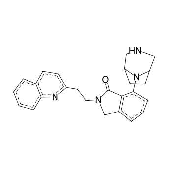 O=C1c2c(cccc2N2C3CCC2CNC3)CN1CCc1ccc2ccccc2n1